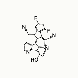 N#C/C=C1/C(=C2\c3cccnc3-c3c(O)cccc32)C(=C(C#N)C#N)c2c(F)cc(F)cc21